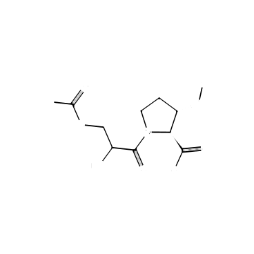 CO[C@H]1CCN(C(=O)C(C)CSC(C)=O)[C@@H]1C(=O)O